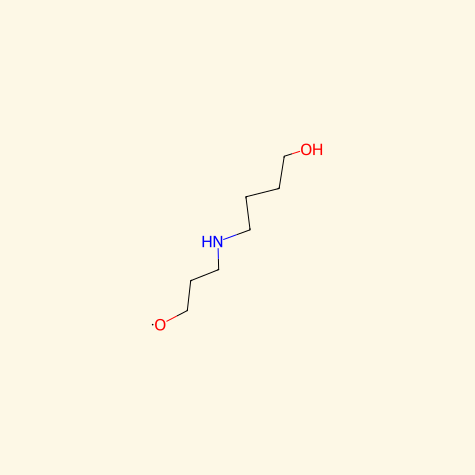 [O]CCCNCCCCO